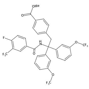 COC(=O)c1ccc(CC(NC(=O)c2ccc(F)c(C(F)(F)F)c2)(c2cccc(OC(F)(F)F)c2)c2cccc(OC(F)(F)F)c2)cc1